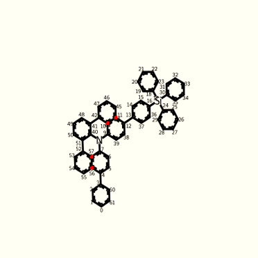 c1ccc(-c2ccc(N(c3ccc(-c4ccc([Si](c5ccccc5)(c5ccccc5)c5ccccc5)cc4)cc3)c3c(-c4ccccc4)cccc3-c3ccccc3)cc2)cc1